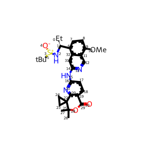 CC[C@@H](N[S+]([O-])C(C)(C)C)c1ccc(OC)c2cnc(Nc3ccc4c(n3)C3(CC3)C(C)(C)OC4=O)cc12